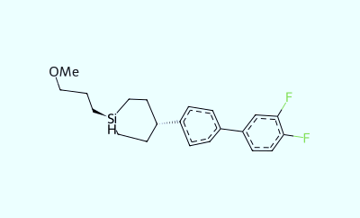 COCCC[Si@H]1CC[C@H](c2ccc(-c3ccc(F)c(F)c3)cc2)CC1